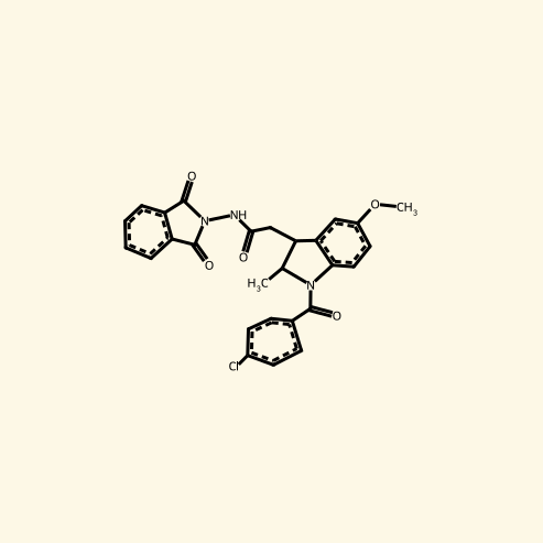 COc1ccc2c(c1)C(CC(=O)NN1C(=O)c3ccccc3C1=O)C(C)N2C(=O)c1ccc(Cl)cc1